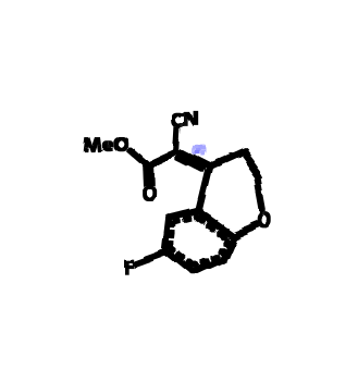 COC(=O)/C(C#N)=C1/CCOc2ccc(F)cc21